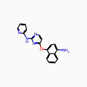 Nc1ccc(Oc2ccnc(Nc3ccccn3)n2)c2ccccc12